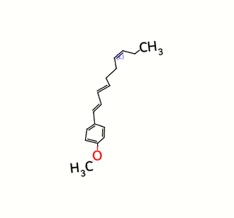 CC/C=C\CCC=CC=Cc1ccc(OC)cc1